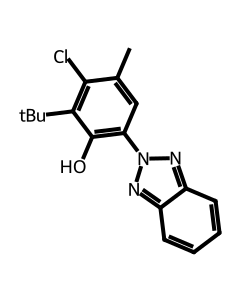 Cc1cc(-n2nc3ccccc3n2)c(O)c(C(C)(C)C)c1Cl